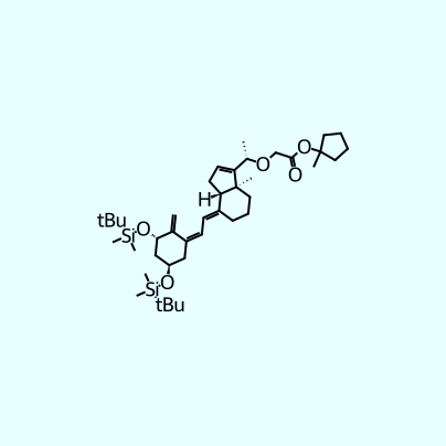 C=C1C(=CC=C2CCC[C@]3(C)C([C@H](C)OCC(=O)OC4(C)CCCC4)=CC[C@@H]23)C[C@@H](O[Si](C)(C)C(C)(C)C)C[C@@H]1O[Si](C)(C)C(C)(C)C